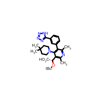 Cc1nc(C)c([C@H](OC(C)(C)C)C(=O)O)c(N2CCC(C)(C)CC2)c1-c1cccc(-c2nnn[nH]2)c1